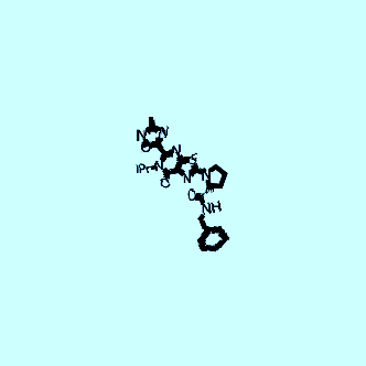 Cc1noc(-c2nc3sc(N4CCC[C@@H]4C(=O)NCc4ccccc4)nc3c(=O)n2C(C)C)n1